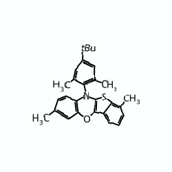 Cc1ccc2c(c1)Oc1c(sc3c(C)cccc13)N2c1c(C)cc(C(C)(C)C)cc1C